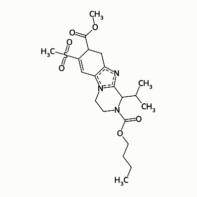 CCCCOC(=O)N1CCn2c(nc3c2C=C(S(C)(=O)=O)C(C(=O)OC)C3)C1C(C)C